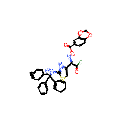 O=C(Cl)/C(=N\OC(=O)c1ccc2c(c1)OCO2)c1csc(NC(c2ccccc2)(c2ccccc2)c2ccccc2)n1